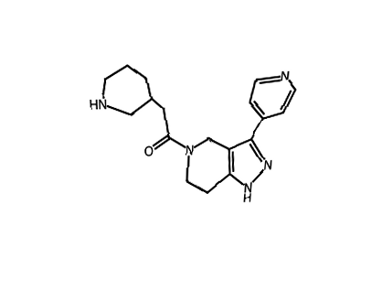 O=C(CC1CCCNC1)N1CCc2[nH]nc(-c3ccncc3)c2C1